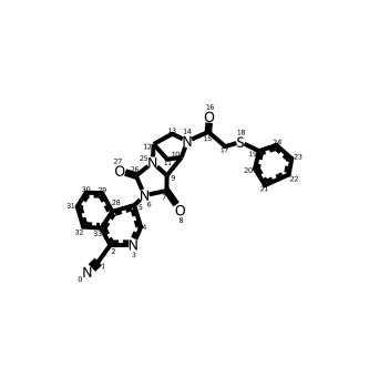 N#Cc1ncc(N2C(=O)C3C4CC(CN4C(=O)CSc4ccccc4)N3C2=O)c2ccccc12